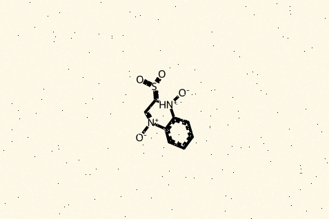 O=S(=O)=C1C=[N+]([O-])c2ccccc2[NH+]1[O-]